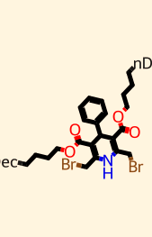 CCCCCCCCCCCCCCOC(=O)C1=C(CBr)NC(CBr)=C(C(=O)OCCCCCCCCCCCCCC)C1c1ccccc1